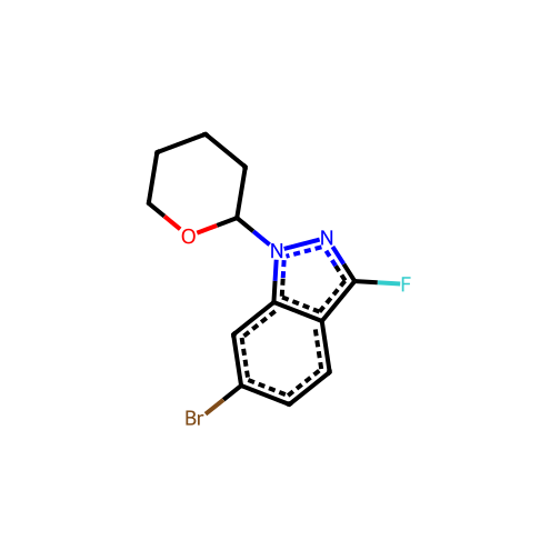 Fc1nn(C2CCCCO2)c2cc(Br)ccc12